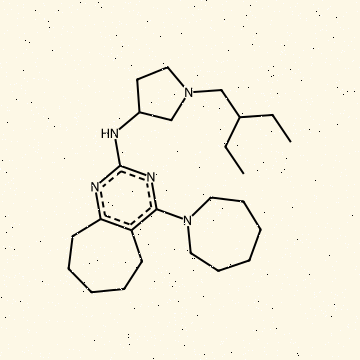 CCC(CC)CN1CCC(Nc2nc3c(c(N4CCCCCC4)n2)CCCCC3)C1